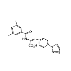 Cc1cc(C)cc(C(=O)NC(=Cc2ccc(-n3ccnn3)cc2)C(=O)O)c1